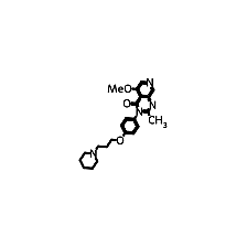 COc1cncc2nc(C)n(-c3ccc(OCCCN4CCCCC4)cc3)c(=O)c12